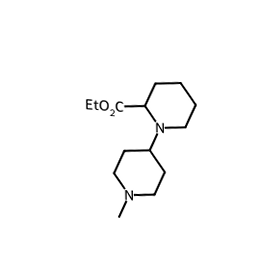 CCOC(=O)C1CCCCN1C1CCN(C)CC1